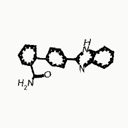 NC(=O)c1ccccc1-c1ccc(-c2nc3ccccc3[nH]2)cc1